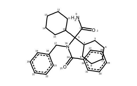 NC(=O)C(C1CCCCC1)(C1CCCCC1)N(Cc1ccccc1)C(=O)c1ccccc1